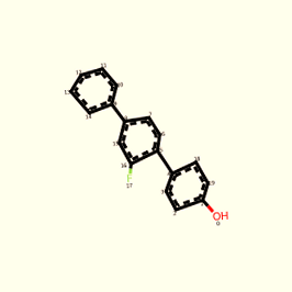 Oc1ccc(-c2ccc(-c3ccccc3)cc2F)cc1